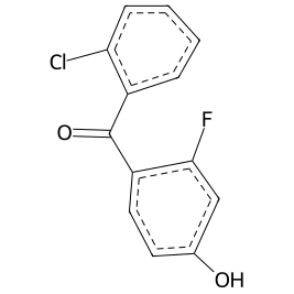 O=C(c1ccc(O)cc1F)c1ccccc1Cl